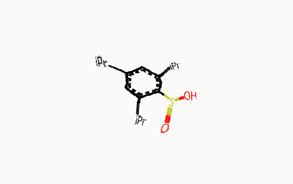 CC(C)c1cc(C(C)C)c(S(=O)O)c(C(C)C)c1